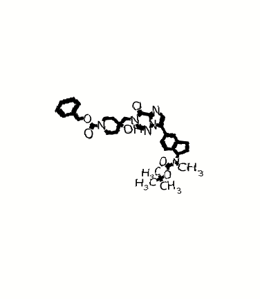 CN(C(=O)OC(C)(C)C)C1CCc2cc(-c3cnc4c(=O)n(CC5(O)CCN(C(=O)OCc6ccccc6)CC5)cnn34)ccc21